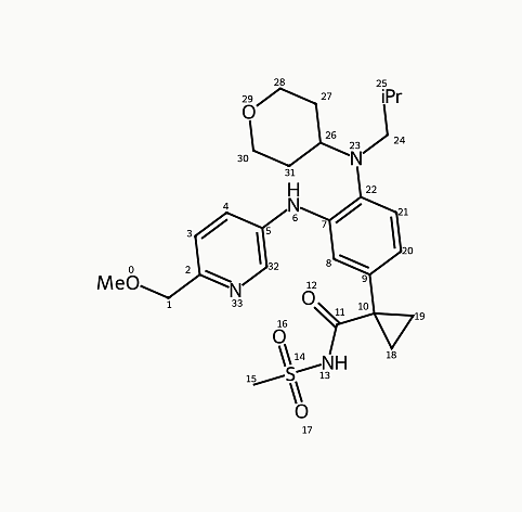 COCc1ccc(Nc2cc(C3(C(=O)NS(C)(=O)=O)CC3)ccc2N(CC(C)C)C2CCOCC2)cn1